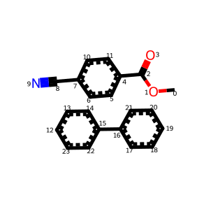 COC(=O)c1ccc(C#N)cc1.c1ccc(-c2ccccc2)cc1